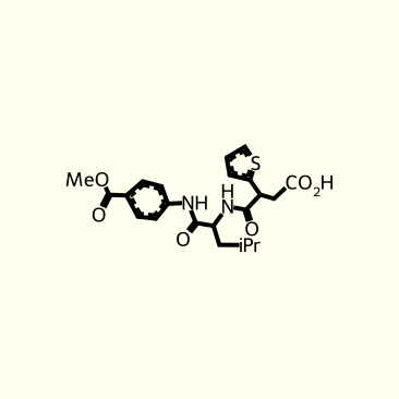 COC(=O)c1ccc(NC(=O)C(CC(C)C)NC(=O)C(CC(=O)O)c2cccs2)cc1